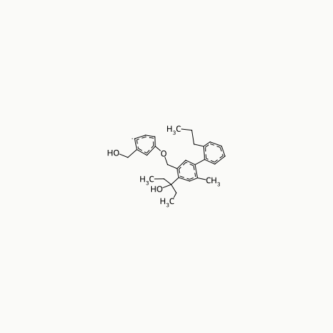 CCCc1ccccc1-c1cc(COc2cc[c]c(CO)c2)c(C(O)(CC)CC)cc1C